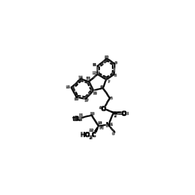 CN(C(=O)OCC1c2ccccc2-c2ccccc21)[C@H](CC(C)(C)C)C(=O)O